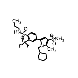 CCCNS(=O)(=O)c1ccc(-c2cc(S(N)(=O)=O)c(C)n2CC2CCCCC2)cc1C(F)(F)F